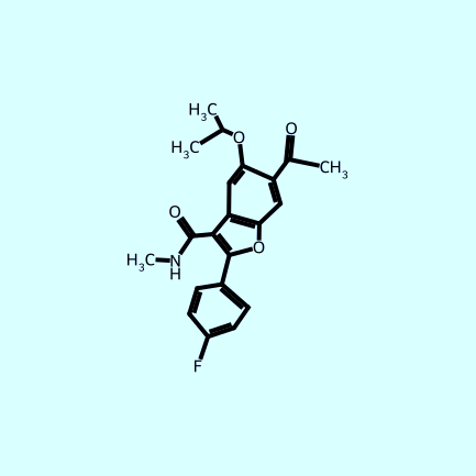 CNC(=O)c1c(-c2ccc(F)cc2)oc2cc(C(C)=O)c(OC(C)C)cc12